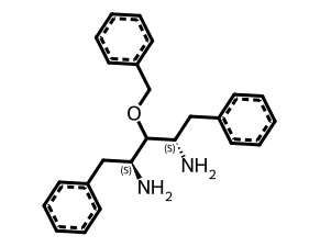 N[C@@H](Cc1ccccc1)C(OCc1ccccc1)[C@@H](N)Cc1ccccc1